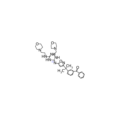 CC(C)(c1cccc(C(=O)c2ccccc2)c1)c1cc(/N=C(\NCCN2CCOCC2)NC(=N)NCCN2CCOCC2)on1